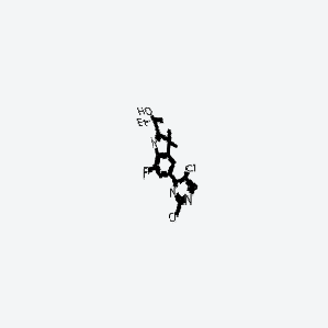 CC[C@@](C)(O)C1=Nc2c(F)cc(-c3nc(Cl)ncc3Cl)cc2C1(C)C